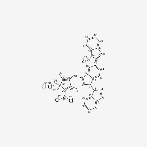 C1=CC(C2C=Cc3ccccc32)c2ccccc21.CC1=C(C)C(C)(C)[C]([Zr]([Cl])[Cl])=C1C.[Cl-].[Cl-].[Zr+2][CH]1C=Cc2ccccc21